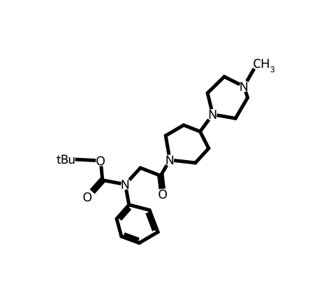 CN1CCN(C2CCN(C(=O)CN(C(=O)OC(C)(C)C)c3ccccc3)CC2)CC1